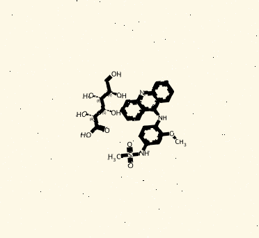 COc1cc(NS(C)(=O)=O)ccc1Nc1c2ccccc2nc2ccccc12.O=C(O)[C@H](O)[C@@H](O)[C@H](O)[C@H](O)CO